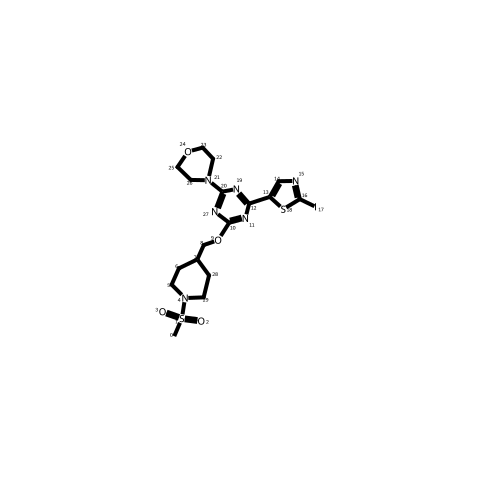 CS(=O)(=O)N1CCC(COc2nc(-c3cnc(I)s3)nc(N3CCOCC3)n2)CC1